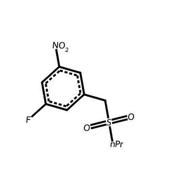 CCCS(=O)(=O)Cc1cc(F)cc([N+](=O)[O-])c1